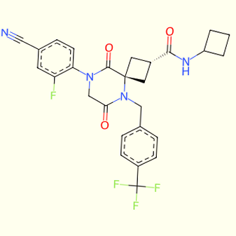 N#Cc1ccc(N2CC(=O)N(Cc3ccc(C(F)(F)F)cc3)[C@]3(C[C@@H](C(=O)NC4CCC4)C3)C2=O)c(F)c1